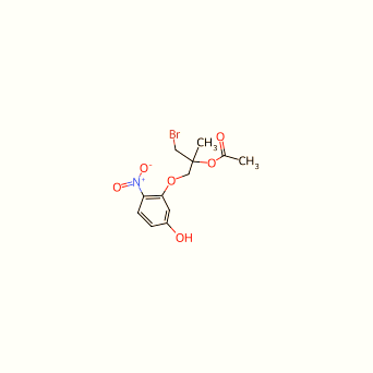 CC(=O)OC(C)(CBr)COc1cc(O)ccc1[N+](=O)[O-]